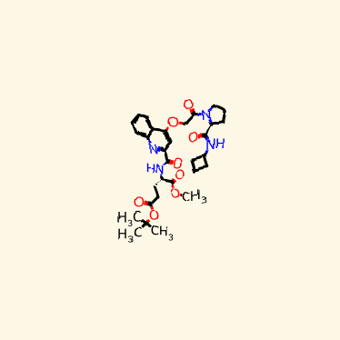 COC(=O)[C@H](CCC(=O)OC(C)(C)C)NC(=O)c1cc(OCC(=O)N2CCC[C@H]2C(=O)NC2CCC2)c2ccccc2n1